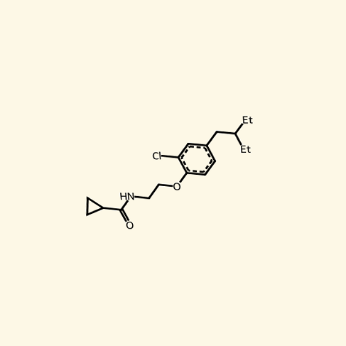 CCC(CC)Cc1ccc(OCCNC(=O)C2CC2)c(Cl)c1